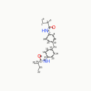 CCC(C)C(=O)Nc1ccc(Cc2ccc(NC(=O)C(C)CC)cc2)cc1